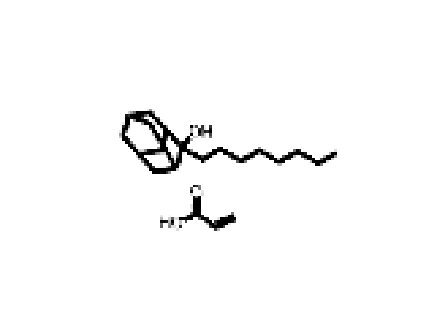 C=CC(=O)O.CCCCCCCCC1(O)C2CC3CC(C2)CC1C3